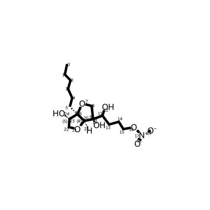 CCCCCC[C@]12OC[C@@](O)(C(O)CCCO[N+](=O)[O-])[C@H]1OC[C@@H]2O